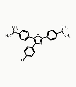 CN(C)c1ccc(-c2nc(-c3ccc(Cl)cc3)c(-c3ccc(N(C)C)cc3)o2)cc1